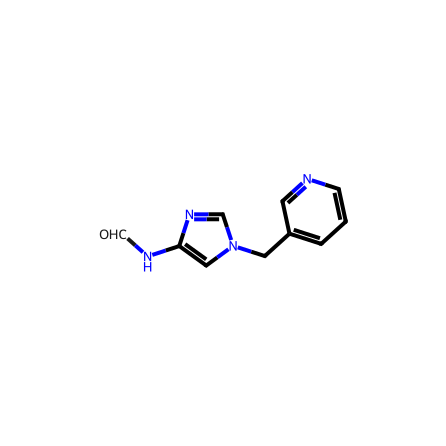 O=CNc1cn(Cc2cccnc2)cn1